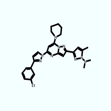 CCc1cccc(-c2ccn(-c3cc(N4CCCCC4)n4nc(-c5cc(C)n(N(C)C)n5)cc4n3)n2)c1